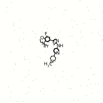 CC(C)N1CCOc2c(F)cc(-c3cnc(Nc4ccc(C5CCN(C)CC5)nc4)s3)cc21